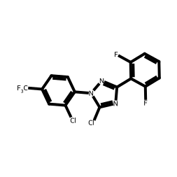 Fc1cccc(F)c1-c1nc(Cl)n(-c2ccc(C(F)(F)F)cc2Cl)n1